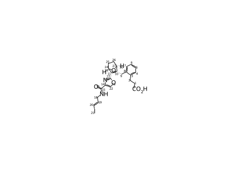 O=C(O)CCc1ccccc1C[C@@H]1[C@H](c2nc(C(=O)NC/C=C/I)co2)[C@H]2CC[C@@H]1O2